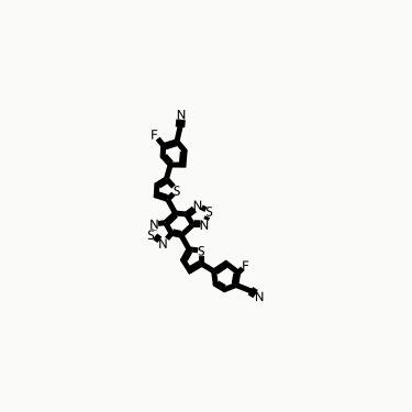 N#Cc1ccc(-c2ccc(-c3c4c(c(-c5ccc(-c6ccc(C#N)c(F)c6)s5)c5nsnc35)N=S=N4)s2)cc1F